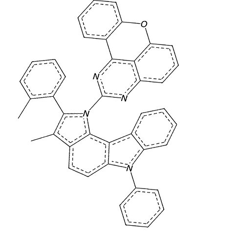 Cc1ccccc1-c1c(C)c2ccc3c(c4ccccc4n3-c3ccccc3)c2n1-c1nc2c3c(cccc3n1)Oc1ccccc1-2